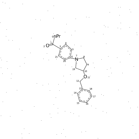 CCCC(=O)c1ccc(N2CCC(OCc3ccccc3)C2)cc1